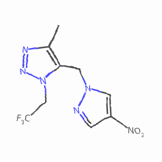 Cc1nnn(CC(F)(F)F)c1Cn1cc([N+](=O)[O-])cn1